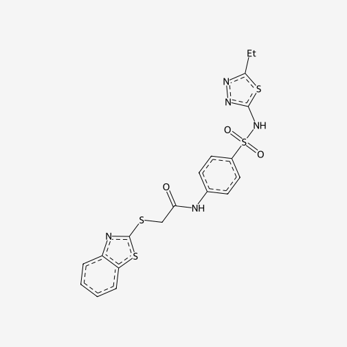 CCc1nnc(NS(=O)(=O)c2ccc(NC(=O)CSc3nc4ccccc4s3)cc2)s1